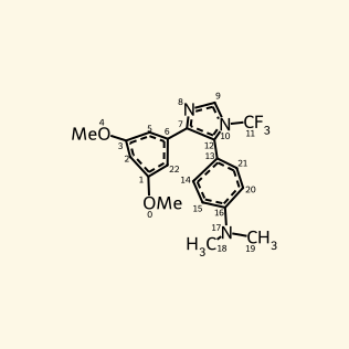 COc1cc(OC)cc(-c2ncn(C(F)(F)F)c2-c2ccc(N(C)C)cc2)c1